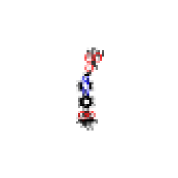 CC(C)(C)OC(=O)COCCN1CCN(c2ccc(B3OC(C)(C)C(C)(C)O3)cc2)CC1